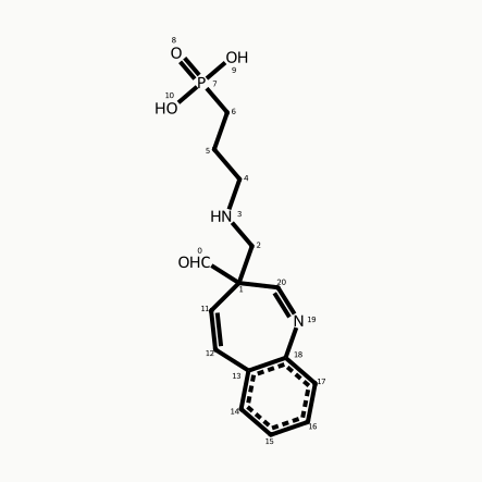 O=CC1(CNCCCP(=O)(O)O)C=Cc2ccccc2N=C1